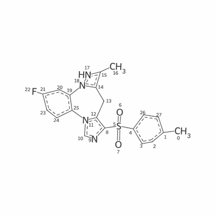 Cc1ccc(S(=O)(=O)c2ncn3c2Cc2c(C)[nH]n2-c2cc(F)ccc2-3)cc1